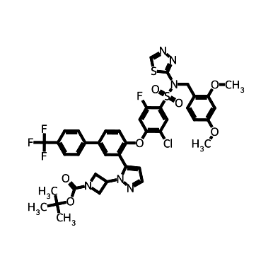 COc1ccc(CN(c2nncs2)S(=O)(=O)c2cc(Cl)c(Oc3ccc(-c4ccc(C(F)(F)F)cc4)cc3-c3ccnn3C3CN(C(=O)OC(C)(C)C)C3)cc2F)c(OC)c1